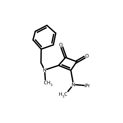 CC(C)N(C)c1c(N(C)Cc2ccccc2)c(=O)c1=O